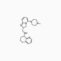 CN1CCN(C2=CC=CC3=NC(CNC4CCCc5cccnc54)CN23)CC1